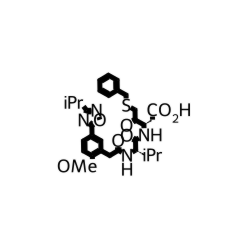 COc1ccc(-c2nc(C(C)C)no2)cc1CC(=O)N[C@H](C(=O)N[C@@H](CC(=O)O)C(=O)CSCc1ccccc1)C(C)C